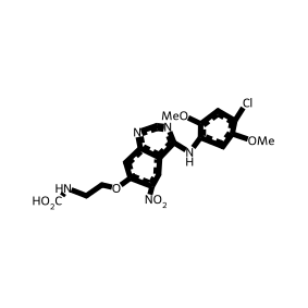 COc1cc(Nc2ncnc3cc(OCCNC(=O)O)c([N+](=O)[O-])cc23)c(OC)cc1Cl